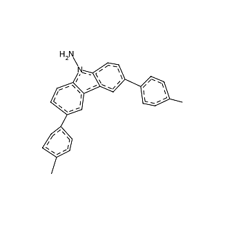 Cc1ccc(-c2ccc3c(c2)c2cc(-c4ccc(C)cc4)ccc2n3N)cc1